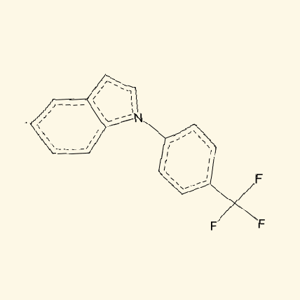 FC(F)(F)c1ccc(-n2ccc3c[c]ccc32)cc1